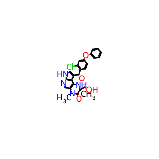 CN1C(=O)[C@](C)(CO)Nc2c1cnc1[nH]cc(C(=O)c3ccc(Oc4ccccc4)cc3Cl)c21